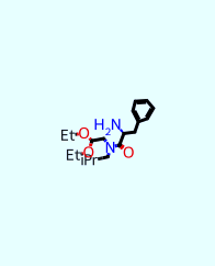 CCOC(CN(CC(C)C)C(=O)[C@@H](N)Cc1ccccc1)OCC